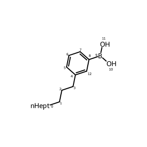 CCCCCCCCCCc1cccc(B(O)O)c1